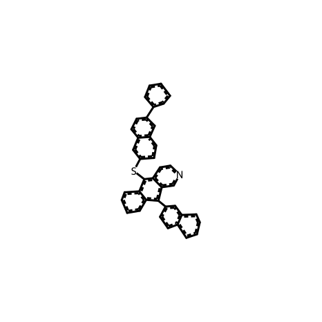 c1ccc(-c2ccc3cc(Sc4c5ccccc5c(-c5ccc6ccccc6c5)c5cnccc45)ccc3c2)cc1